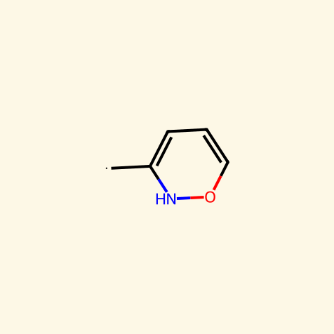 [CH2]C1=CC=CON1